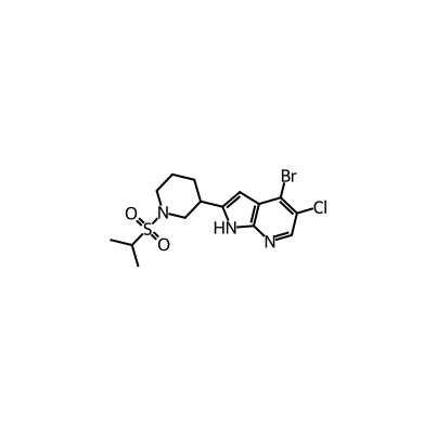 CC(C)S(=O)(=O)N1CCCC(c2cc3c(Br)c(Cl)cnc3[nH]2)C1